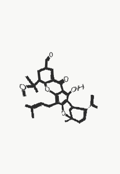 C=C(C)[C@@H]1CC[C@@]2(C)CC1c1c(O)c3c(c(CC=C(C)C)c1O2)OC1C(=CC(C=O)CC1C(C)(C)OC)C3=O